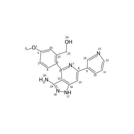 COc1ccc(-c2nc(-c3cccnc3)cc3[nH]nc(N)c23)c(CO)c1